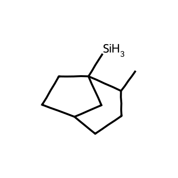 CC1CCC2CCC1([SiH3])C2